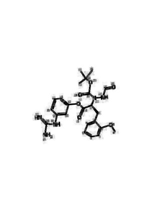 COc1ccccc1C[C@@H](C(=O)Oc1cccc(NC(=N)N)c1)N(NC=O)C(=O)OC(C)(C)C